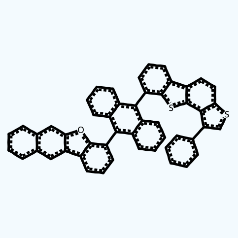 c1ccc(-c2csc3ccc4c5cccc(-c6c7ccccc7c(-c7cccc8c7oc7cc9ccccc9cc78)c7ccccc67)c5sc4c23)cc1